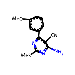 COc1cccc(-c2nc(SC)nc(N)c2C#N)c1